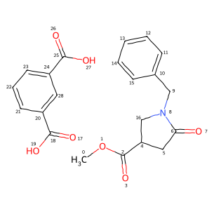 COC(=O)C1CC(=O)N(Cc2ccccc2)C1.O=C(O)c1cccc(C(=O)O)c1